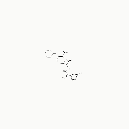 Nc1nc(/C(=N/O)C(=O)NC2C(=O)N3C(C(=O)O)=C(SC4CCOCC4)CS[C@@H]23)cs1